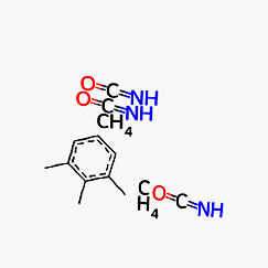 C.C.Cc1cccc(C)c1C.N=C=O.N=C=O.N=C=O